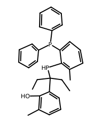 CCC(CC)(Pc1c(C)cccc1P(c1ccccc1)c1ccccc1)c1cccc(C)c1O